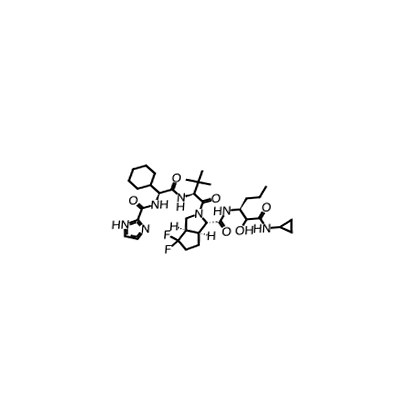 CCC[C@H](NC(=O)[C@@H]1[C@H]2CCC(F)(F)[C@H]2CN1C(=O)[C@@H](NC(=O)[C@@H](NC(=O)c1ncc[nH]1)C1CCCCC1)C(C)(C)C)C(O)C(=O)NC1CC1